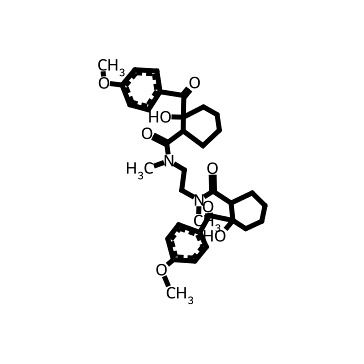 COc1ccc(C(=O)C2(O)CCCCC2C(=O)N(C)CCN(C)C(=O)C2CCCCC2(O)C(=O)c2ccc(OC)cc2)cc1